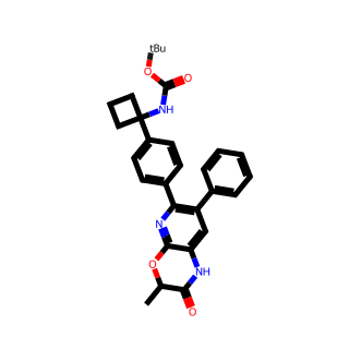 CC1Oc2nc(-c3ccc(C4(NC(=O)OC(C)(C)C)CCC4)cc3)c(-c3ccccc3)cc2NC1=O